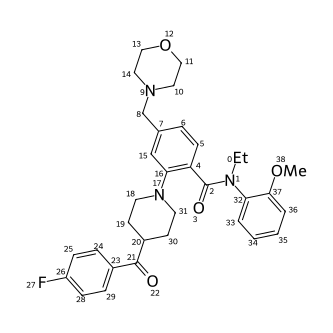 CCN(C(=O)c1ccc(CN2CCOCC2)cc1N1CCC(C(=O)c2ccc(F)cc2)CC1)c1ccccc1OC